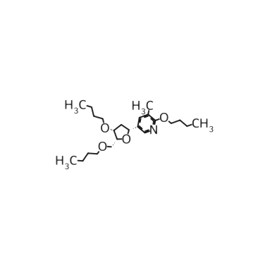 CCCCOC[C@H]1O[C@@H](c2cnc(OCCCC)c(C)c2)C[C@H]1OCCCC